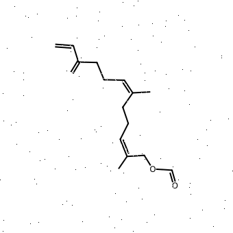 C=CC(=C)CCC=C(C)CCC=C(C)COC=O